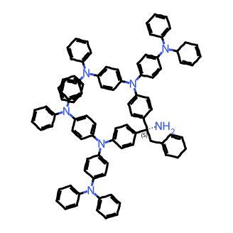 N[C@](CC1=CCCC=C1)(c1ccc(N(c2ccc(N(c3ccccc3)c3ccccc3)cc2)c2ccc(N(c3ccccc3)c3ccccc3)cc2)cc1)c1ccc(N(c2ccc(N(c3ccccc3)c3ccccc3)cc2)c2ccc(N(c3ccccc3)C3C=CC=CC3)cc2)cc1